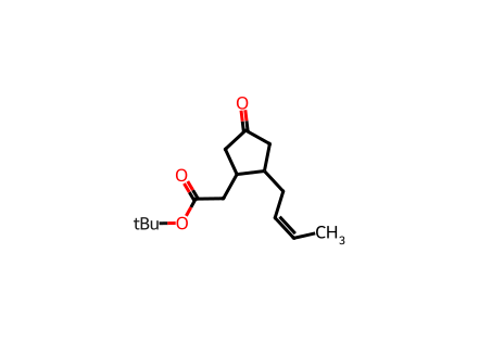 C/C=C\CC1CC(=O)CC1CC(=O)OC(C)(C)C